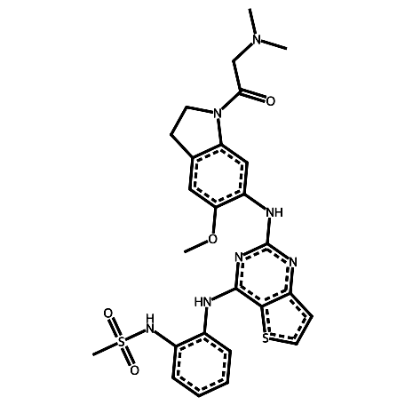 COc1cc2c(cc1Nc1nc(Nc3ccccc3NS(C)(=O)=O)c3sccc3n1)N(C(=O)CN(C)C)CC2